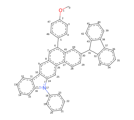 COc1ccc(-c2cc3cc4c5ccccc5n(-c5ccccc5)c4cc3c3ccc(C4c5ccccc5-c5ccccc54)cc23)cc1